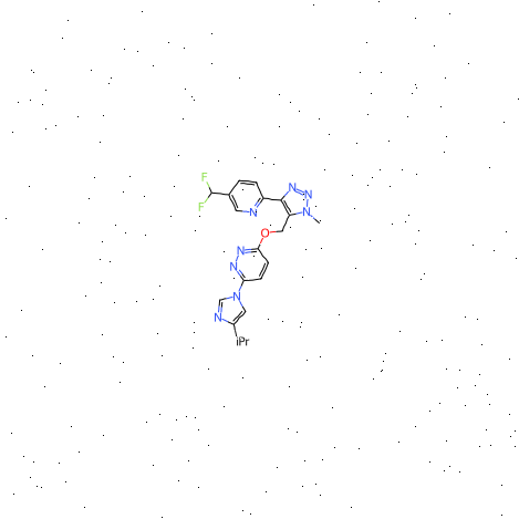 CC(C)c1cn(-c2ccc(OCc3c(-c4ccc(C(F)F)cn4)nnn3C)nn2)cn1